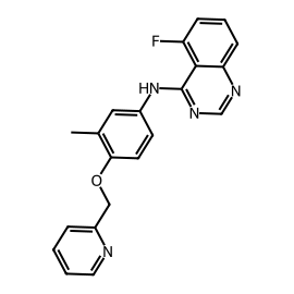 Cc1cc(Nc2ncnc3cccc(F)c23)ccc1OCc1ccccn1